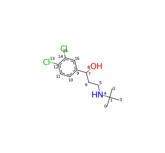 CC(C)(C)NCCC(O)c1ccc(Cl)c(Cl)c1